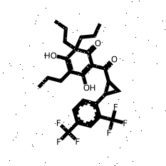 CCCC1=C(O)C(CCC)(CCC)C(=O)C(C(=O)C2CC2c2ccc(C(F)(F)F)cc2C(F)(F)F)=C1O